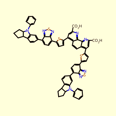 O=C(O)c1cc(-c2ccc(-c3ccc(-c4ccc5c(c4)N(c4ccccc4)C4CCCC54)c4nsnc34)s2)c2ccc3c(-c4ccc(-c5ccc(-c6ccc7c(c6)N(c6ccccc6)C6CCCC76)c6nsnc56)s4)cc(C(=O)O)nc3c2n1